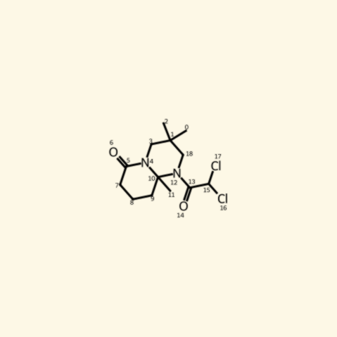 CC1(C)CN2C(=O)CCCC2(C)N(C(=O)C(Cl)Cl)C1